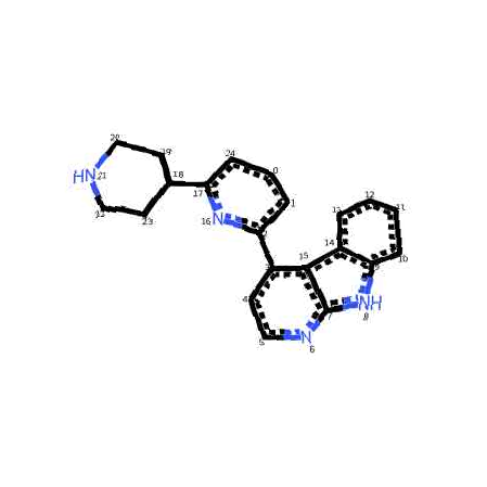 c1cc(-c2ccnc3[nH]c4ccccc4c23)nc(C2CCNCC2)c1